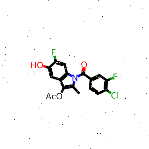 CC(=O)Oc1c(C)n(C(=O)c2ccc(Cl)c(F)c2)c2cc(F)c(O)cc12